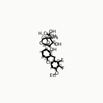 CCOc1ccc(Cc2cc([C@]34OC[C@](C(C)(C)O)(O3)[C@@H](O)[C@H](O)[C@H]4O)ccc2Cl)c(F)c1F